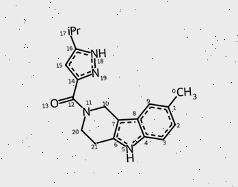 Cc1ccc2[nH]c3c(c2c1)CN(C(=O)c1cc(C(C)C)[nH]n1)CC3